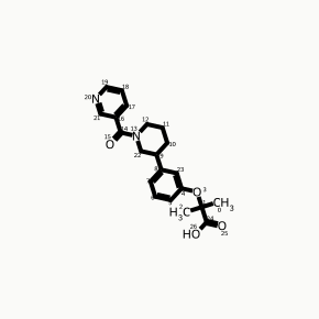 CC(C)(Oc1cccc(C2CCCN(C(=O)c3cccnc3)C2)c1)C(=O)O